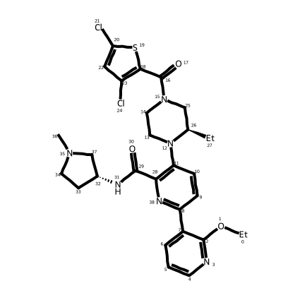 CCOc1ncccc1-c1ccc(N2CCN(C(=O)c3sc(Cl)cc3Cl)C[C@H]2CC)c(C(=O)N[C@@H]2CCN(C)C2)n1